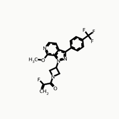 C=C(F)C(=O)N1CC(n2nc(-c3ccc(C(F)(F)F)cc3)c3ccnc(OC)c32)C1